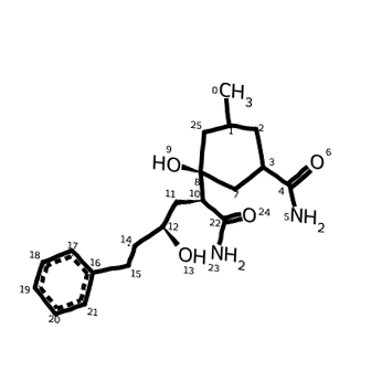 CC1CC(C(N)=O)C[C@](O)([C@H](C[C@@H](O)[CH]Cc2ccccc2)C(N)=O)C1